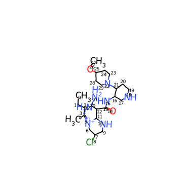 CCC/C(C)=[N+]1/CC(Cl)CNC1C(C(=O)NC1CNCCC1N1CCC(OC)CC1)C(N)N